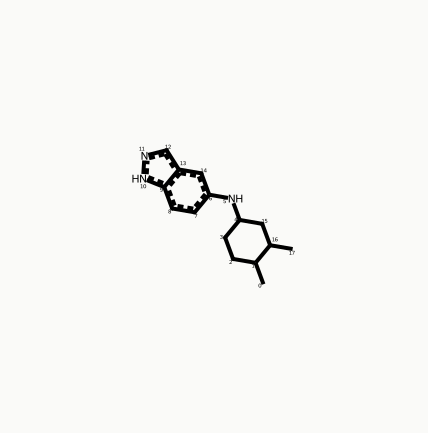 CC1CCC(Nc2ccc3[nH]ncc3c2)CC1C